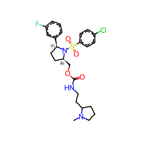 CN1CCCC1CCNC(=O)OC[C@H]1CC[C@@H](c2cccc(F)c2)N1S(=O)(=O)c1ccc(Cl)cc1